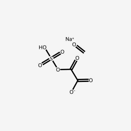 C=O.O=C([O-])C(=O)OS(=O)(=O)O.[Na+]